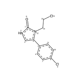 O=c1[nH]cc(-c2ccc(Cl)cc2)n1CCCl